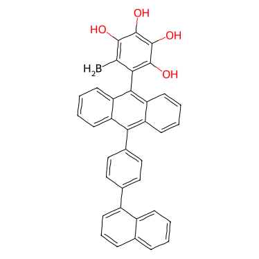 Bc1c(O)c(O)c(O)c(O)c1-c1c2ccccc2c(-c2ccc(-c3cccc4ccccc34)cc2)c2ccccc12